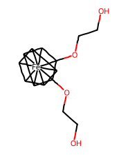 OCCO[C]12[CH]3[CH]4[CH]5[C]1(OCCO)[Fe]43521678[CH]2[CH]1[CH]6[CH]7[CH]28